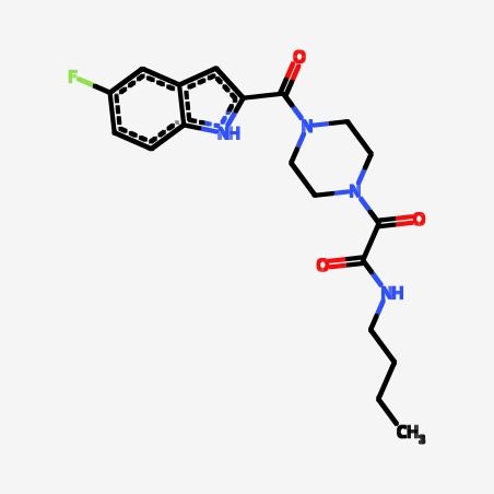 CCCCNC(=O)C(=O)N1CCN(C(=O)c2cc3cc(F)ccc3[nH]2)CC1